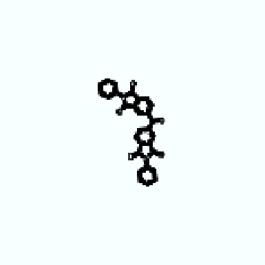 O=C(c1ccc2c(c1)C(=O)N(c1ccccc1)C2=O)c1ccc2c(c1)C(=O)N(c1ccccc1)C2=O